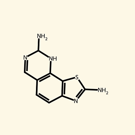 Nc1nc2ccc3c(c2s1)NC(N)N=C3